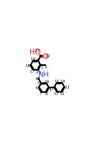 Cc1c(NCc2cccc(-c3ccccc3)c2)cccc1C(=O)O